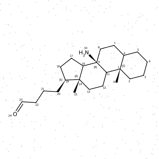 C[C@]12CCCCC1CC[C@]1(N)C2CC[C@@]2(C)C1CC[C@@H]2CCCC=O